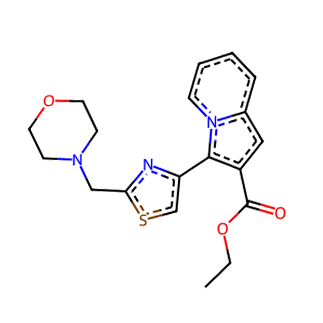 CCOC(=O)c1cc2ccccn2c1-c1csc(CN2CCOCC2)n1